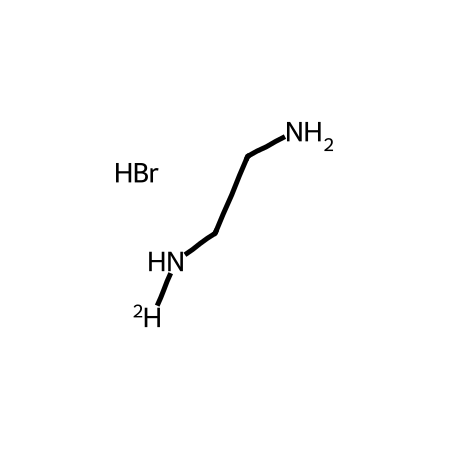 Br.[2H]NCCN